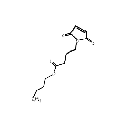 CCCCOC(=O)CCCN1C(=O)C=CC1=O